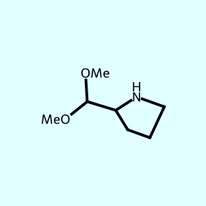 COC(OC)C1CCCN1